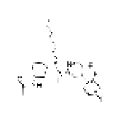 CCCCCCC=C(Nc1cc(-c2ccc(F)nc2F)c(F)cn1)[C@H]1CCC[C@@H](NC(C)=O)C1